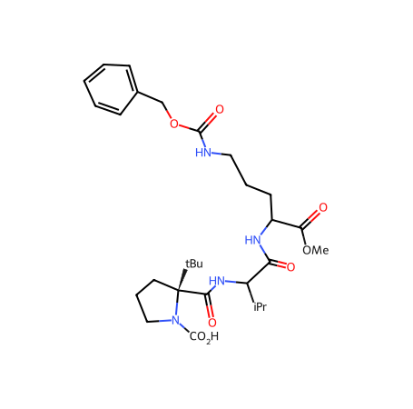 COC(=O)C(CCCNC(=O)OCc1ccccc1)NC(=O)C(NC(=O)[C@@]1(C(C)(C)C)CCCN1C(=O)O)C(C)C